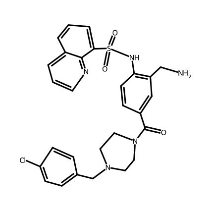 NCc1cc(C(=O)N2CCN(Cc3ccc(Cl)cc3)CC2)ccc1NS(=O)(=O)c1cccc2cccnc12